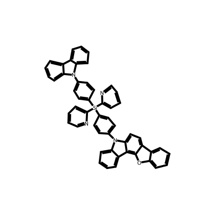 c1ccc([Si](c2ccc(-n3c4ccccc4c4ccccc43)cc2)(c2ccc(-n3c4ccccc4c4c5oc6ccccc6c5ccc43)cc2)c2ccccn2)nc1